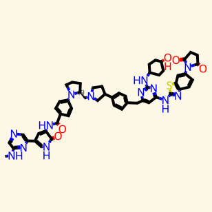 CNc1cncc(-c2c[nH]c(=O)c(NC(=O)c3ccc(N4CCC[C@H]4CN4CCC(c5ccc(Cc6cc(Nc7nc8ccc(N9C(=O)CCC9=O)cc8s7)nc(NC7CCC(O)CC7)n6)cc5)C4)cc3)c2)n1